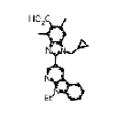 CCn1c2ccccc2c2cc(-c3nc4c(C)c(C(=O)O)c(C)cc4n3CC3CC3)cnc21